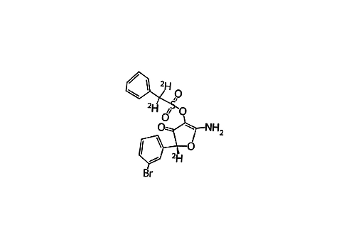 [2H]C([2H])(c1ccccc1)S(=O)(=O)OC1=C(N)O[C@]([2H])(c2cccc(Br)c2)C1=O